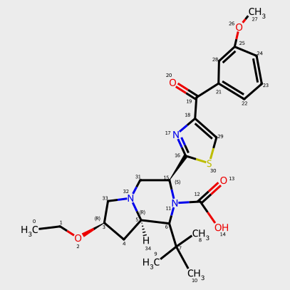 CCO[C@@H]1C[C@@H]2C(C(C)(C)C)N(C(=O)O)[C@H](c3nc(C(=O)c4cccc(OC)c4)cs3)CN2C1